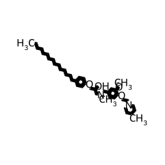 CCCCCCCCCCCCCCCc1ccc(OCC(O)CN(C)Cc2ccc(OCCN3CCC(C)CC3)c(OC)c2)cc1